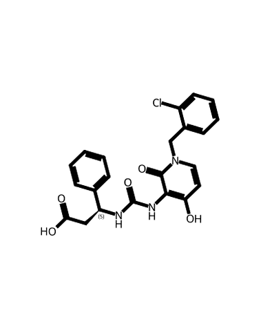 O=C(O)C[C@H](NC(=O)Nc1c(O)ccn(Cc2ccccc2Cl)c1=O)c1ccccc1